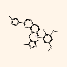 COc1cc(/N=c2\ccc3ncc(-c4cnn(C)c4)nc3n2Cc2c(C)noc2C)c(F)c(OC)c1